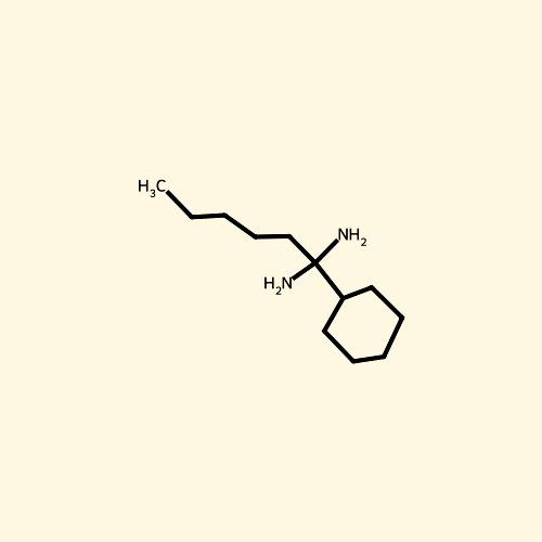 CCCCCC(N)(N)C1CCCCC1